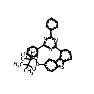 CC1(C)OB(c2ccc3sc4cccc(-c5nc(-c6ccccc6)nc(-c6ccccc6)n5)c4c3c2)OC1(C)C